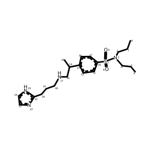 CCCN(CCC)S(=O)(=O)c1ccc(C(C)CNCCCc2ncc[nH]2)cc1